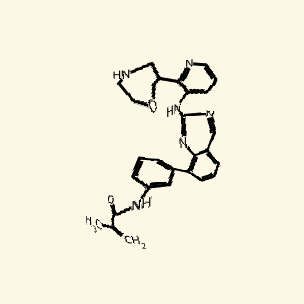 C=C(C)C(=O)Nc1cccc(-c2cccc3cnc(Nc4cccnc4C4CNCCO4)nc23)c1